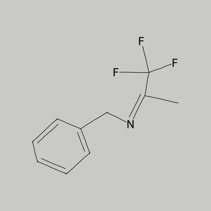 CC(=NCc1ccccc1)C(F)(F)F